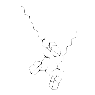 CCCCCCCCOC(=O)CC1(OC(=O)C23CC4CC(C2)CC(C(=O)OC2(CC(=O)OCCCCCCCC)C5CC6CC(C5)CC2C6)(C4)C3)C2CC3CC(C2)CC1C3